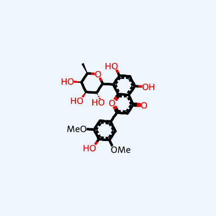 COc1cc(-c2cc(=O)c3c(O)cc(O)c(C4O[C@H](C)[C@H](O)[C@H](O)[C@H]4O)c3o2)cc(OC)c1O